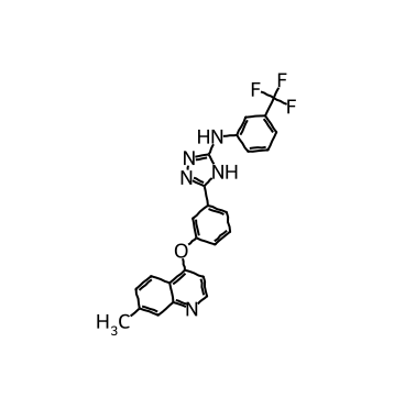 Cc1ccc2c(Oc3cccc(-c4nnc(Nc5cccc(C(F)(F)F)c5)[nH]4)c3)ccnc2c1